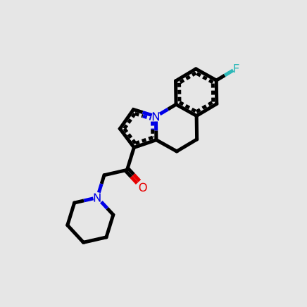 O=C(CN1CCCCC1)c1ccn2c1CCc1cc(F)ccc1-2